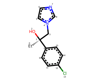 CC[C@](O)(Cn1ccnc1)c1ccc(Cl)cc1